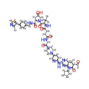 CC(=O)c1c(C)c2cnc(Nc3ccc(N4CCN(C(=O)CNC(=O)CCC(=O)N[C@H](C(=O)N5C[C@H](O)C[C@H]5C(=O)NCc5ccc(-c6scnc6C)cc5)C(C)(C)C)CC4)cn3)nc2n(C2CCCC2)c1=O